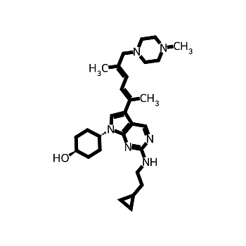 C/C(=C\C=C(/C)c1cn([C@H]2CC[C@H](O)CC2)c2nc(NCCC3CC3)ncc12)CN1CCN(C)CC1